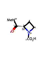 CNC(=O)[C@@H]1CCN1C(=O)O